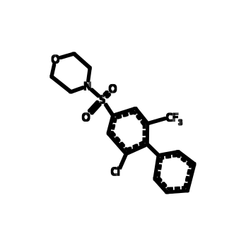 O=S(=O)(c1cc(Cl)c(-c2ccccc2)c(C(F)(F)F)c1)N1CCOCC1